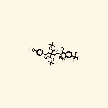 CC(C)(C)OC(=O)C(CCn1nnc2cc(C(F)(F)F)ccc2c1=O)(CC(=O)c1ccc(O)cc1)C(=O)OC(C)(C)C